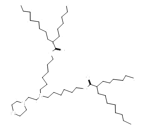 CCCCCCCCC(CCCCCC)C(=O)OCCCCCCN(CCCCCCOC(=O)C(CCCCCC)CCCCCCCC)CCN1CCNCC1